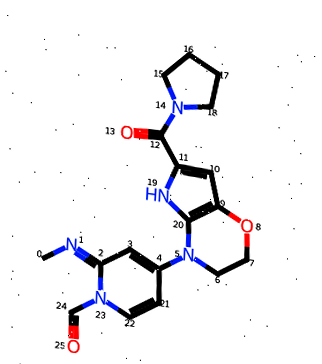 C/N=c1/cc(N2CCOc3cc(C(=O)N4CCCC4)[nH]c32)ccn1C=O